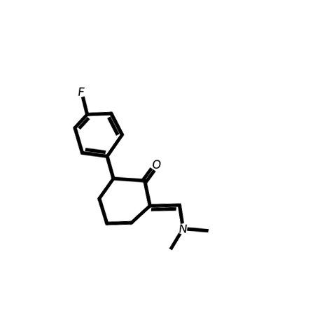 CN(C)C=C1CCCC(c2ccc(F)cc2)C1=O